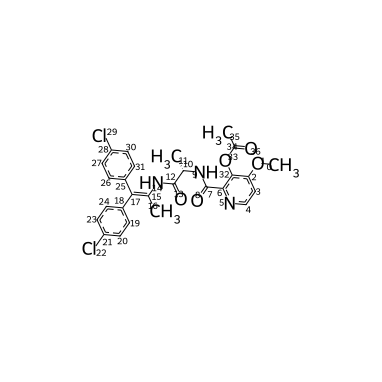 COc1ccnc(C(=O)N[C@@H](C)C(=O)NC(C)=C(c2ccc(Cl)cc2)c2ccc(Cl)cc2)c1OC(C)=O